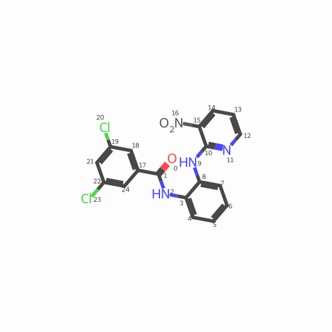 O=C(Nc1ccccc1Nc1ncccc1[N+](=O)[O-])c1cc(Cl)cc(Cl)c1